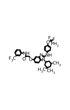 C[C@H]1C[C@@H](n2c(Nc3ccc(OC(F)(F)P)cc3)nc3cc(OCC(=O)Nc4cccc(C(F)(F)F)c4)ccc32)CC(C)(C)C1